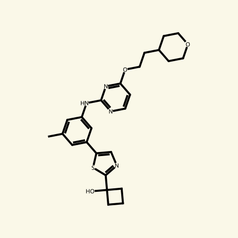 Cc1cc(Nc2nccc(OCCC3CCOCC3)n2)cc(-c2cnc(C3(O)CCC3)s2)c1